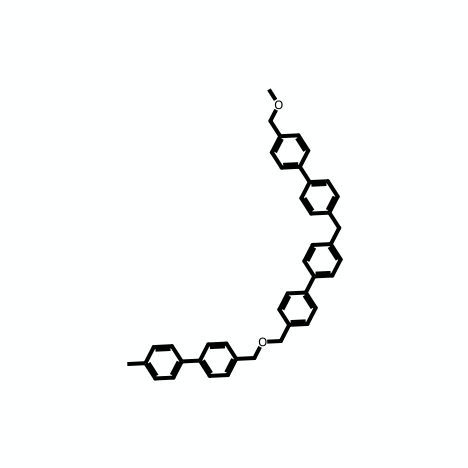 COCc1ccc(-c2ccc(Cc3ccc(-c4ccc(COCc5ccc(-c6ccc(C)cc6)cc5)cc4)cc3)cc2)cc1